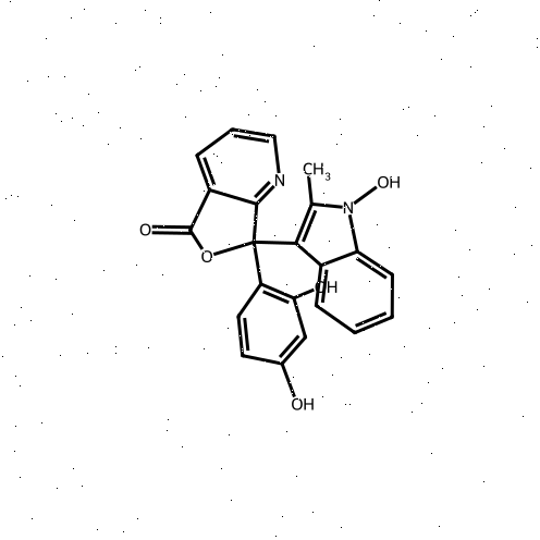 Cc1c(C2(c3ccc(O)cc3O)OC(=O)c3cccnc32)c2ccccc2n1O